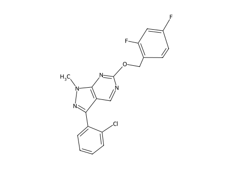 Cn1nc(-c2ccccc2Cl)c2cnc(OCc3ccc(F)cc3F)nc21